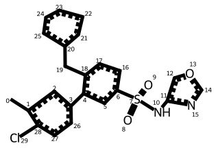 Cc1cc(-c2cc(S(=O)(=O)Nc3cocn3)ccc2Cc2ccccc2)ccc1Cl